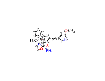 COc1cncc(C#Cc2cccc(C3(C(N)=O)OCCN3C(C)(C)c3ccccc3)c2)c1